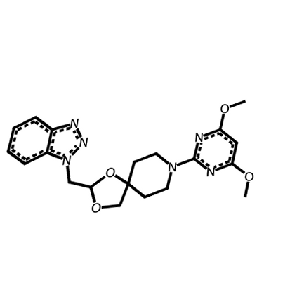 COc1cc(OC)nc(N2CCC3(CC2)COC(Cn2nnc4ccccc42)O3)n1